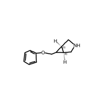 c1ccc(OCC2[C@H]3CNC[C@@H]23)cc1